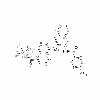 Cc1ccc(C(=O)NC(Cc2ccccc2)C(=O)Nc2cccc3c(S(=O)(=O)NC(C)(C)C)cccc23)cc1